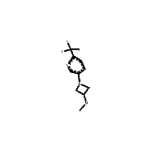 COC1CN(c2ccc(C(F)(F)F)nc2)C1